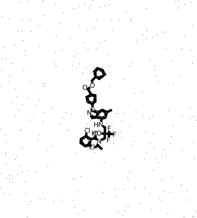 Cc1cc(NCC(O)(CN(C(=O)c2c(Cl)cccc2Cl)C(C)C)C(F)(F)F)c2cnn(-c3ccc(C(=O)OCc4ccccc4)cc3)c2c1